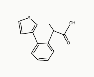 CC(C(=O)O)c1ccccc1-c1ccsc1